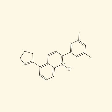 Cc1cc(C)cc(-c2ccc3c(C4=CCCC4)cccc3[n+]2[O-])c1